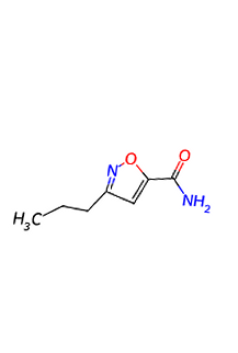 CCCc1cc(C(N)=O)on1